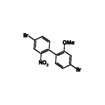 COc1cc(Br)ccc1-c1ccc(Br)cc1[N+](=O)[O-]